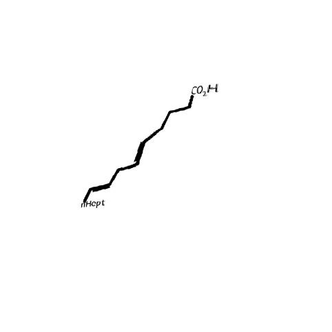 CCCCCCCC=CCC=CCCCC(=O)O